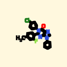 Cc1ccc(-c2nc3c(ncn3-c3ccccc3)c(=O)n2-c2ccc(Cl)cc2)c(F)c1